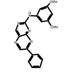 COc1cc(Nc2ncc3ncc(-c4ccccc4)nc3n2)cc(OC)c1